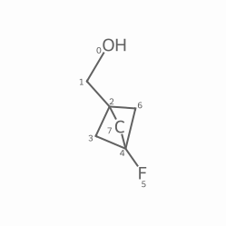 OCC12CC(F)(C1)C2